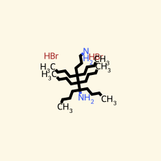 Br.Br.CCCCC(N)(CCCC)C(CCCC)(CCCC)C(CCCC)(CCCC)CCCN